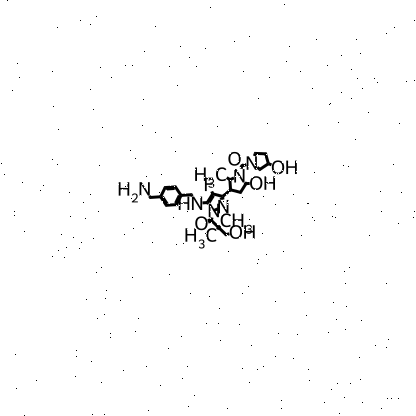 CC1C(c2nn(C(=O)C(C)(C)CO)c(NCc3ccc(CN)cc3)c2F)CC(O)N1C(=O)N1CCC(O)C1